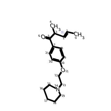 C/C=C/C(C)C(=O)c1ccc(OCCN2CCCCC2)cc1